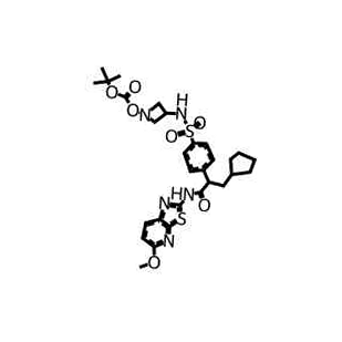 COc1ccc2nc(NC(=O)C(CC3CCCC3)c3ccc(S(=O)(=O)NC4CN(OC(=O)OC(C)(C)C)C4)cc3)sc2n1